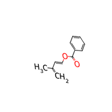 C=C(C)C=COC(=O)c1ccccc1